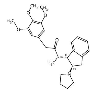 COc1cc(CC(=O)N(C)[C@@H]2c3ccccc3C[C@H]2N2CCCC2)cc(OC)c1OC